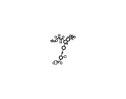 CN(c1cc2nc(-c3ccc(C#Cc4ccc(C(=O)N5CCOCC5)cc4Cl)cc3)cc(C(=O)NNC(=O)OC(C)(C)C)c2cn1)S(C)(=O)=O